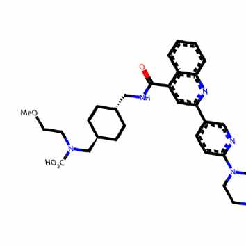 COCCN(C[C@H]1CC[C@H](CNC(=O)c2cc(-c3ccc(N4CCN(C)CC4)nc3)nc3ccccc23)CC1)C(=O)O